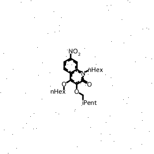 CCCCCCOc1c(OCC(C)CCC)c(=O)n(CCCCCC)c2cc([N+](=O)[O-])ccc12